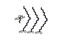 CCCC(O)(O)O.CCCCCCCC/C=C\CCCCCCCC(=O)O.CCCCCCCC/C=C\CCCCCCCC(=O)O.CCCCCCCC/C=C\CCCCCCCC(=O)O